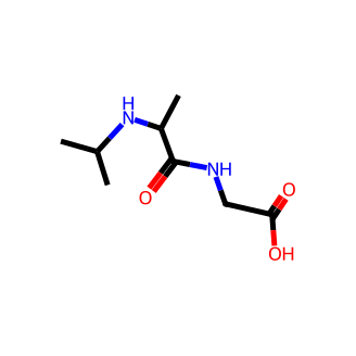 CC(C)NC(C)C(=O)NCC(=O)O